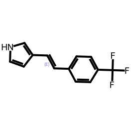 FC(F)(F)c1ccc(/C=C/c2cc[nH]c2)cc1